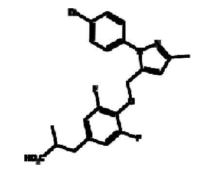 CCc1ccc(-n2nc(C)cc2COc2c(F)cc(CC(C)C(=O)O)cc2F)cc1